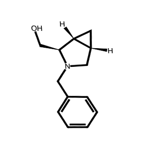 OC[C@H]1[C@@H]2C[C@@H]2CN1Cc1ccccc1